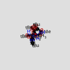 COC(=O)[C@@H]1Cc2ccc(OC(=O)OC(C)(C)C)c(c2)-c2cc(ccc2OC(=O)OC(C)(C)C)[C@H](N(C)C(=O)[C@H](CCNC(=O)OC(C)(C)C)NC(=O)c2cnc(-c3ccc(C(C)(C)C)cc3)nc2C)C(=O)N[C@@H](C)C(=O)N1